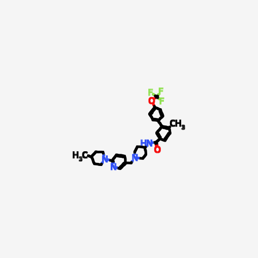 Cc1ccc(C(=O)NC2CCN(Cc3ccc(N4CCC(C)CC4)nc3)CC2)cc1-c1ccc(OC(F)(F)F)cc1